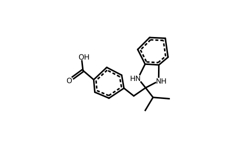 CC(C)C1(Cc2ccc(C(=O)O)cc2)Nc2ccccc2N1